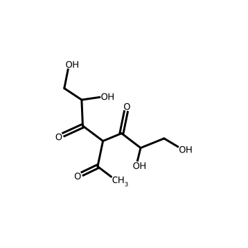 CC(=O)C(C(=O)C(O)CO)C(=O)C(O)CO